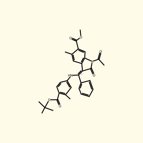 COC(=O)c1cc2c(cc1C)/C(=C(\Nc1ccc(C(=O)OC(C)(C)C)c(C)c1)c1ccccc1)C(=O)N2C(C)=O